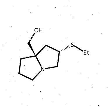 CCS[C@@H]1CN2CCC[C@]2(CO)C1